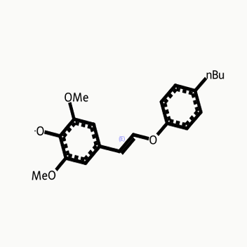 CCCCc1ccc(O/C=C/c2cc(OC)c([O])c(OC)c2)cc1